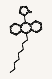 CCCCCCCCc1c2ccccc2c(-c2ccc[se]2)c2ccccc12